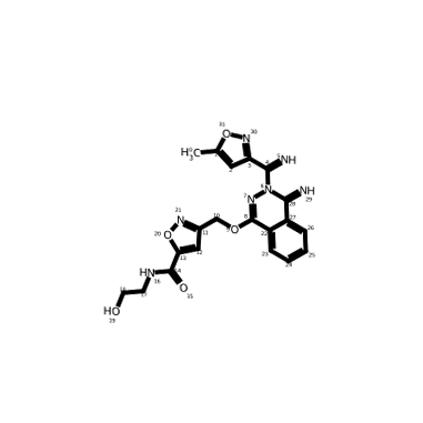 Cc1cc(C(=N)n2nc(OCc3cc(C(=O)NCCO)on3)c3ccccc3c2=N)no1